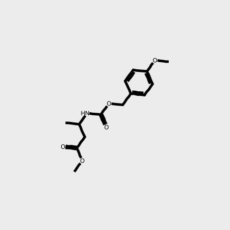 COC(=O)CC(C)NC(=O)OCc1ccc(OC)cc1